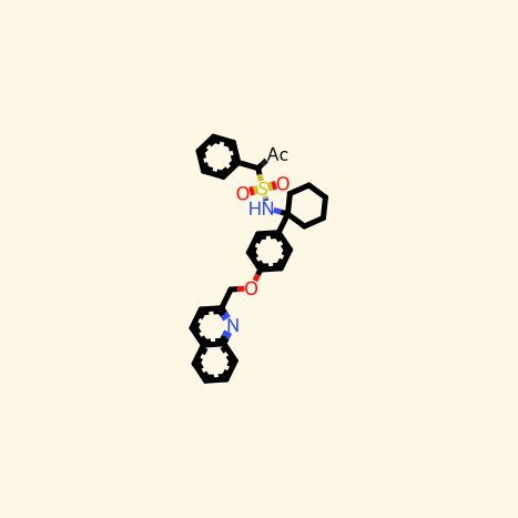 CC(=O)C(c1ccccc1)S(=O)(=O)NC1(c2ccc(OCc3ccc4ccccc4n3)cc2)CCCCC1